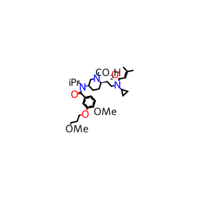 COCCCOc1cc(C(=O)N(C(C)C)[C@@H]2CC[C@H](CCN(C(=O)C=C(C)C)C3CC3)N(C(=O)O)C2)ccc1OC